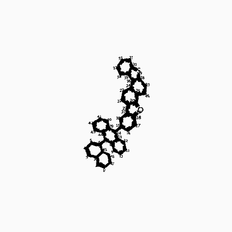 C1=CC2C=CC=C(c3c4ccccc4c(-c4ccc5oc6c(ccc7c6ccc6sc8ccccc8c67)c5c4)c4ccccc34)C2C=C1